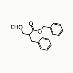 O=CCC(Cc1ccccc1)C(=O)OCc1ccccc1